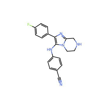 N#Cc1ccc(Nc2c(-c3ccc(F)cc3)nc3n2CCNC3)cc1